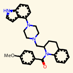 COc1ccc(C(=O)N2c3ccccc3CCC2CN2CCN(c3cccc4[nH]ccc34)CC2)cc1